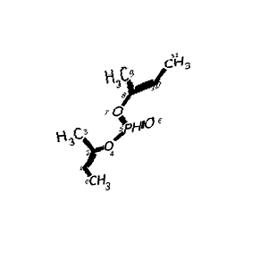 CC=C(C)O[PH](=O)OC(C)=CC